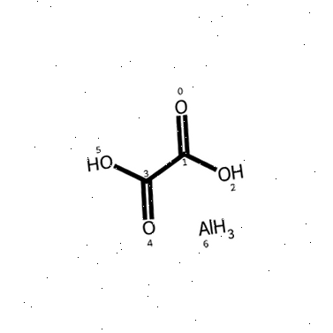 O=C(O)C(=O)O.[AlH3]